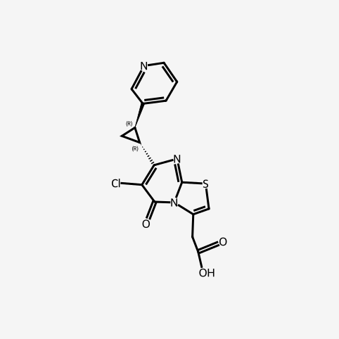 O=C(O)Cc1csc2nc([C@@H]3C[C@H]3c3cccnc3)c(Cl)c(=O)n12